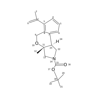 C=C(C)c1cccc2c1CO[C@@]1(C)CN(C(=O)OC(C)(C)C)C[C@H]21